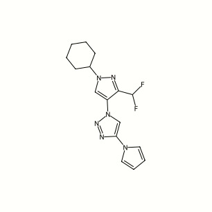 FC(F)c1nn(C2CCCCC2)cc1-n1cc(-n2cccc2)nn1